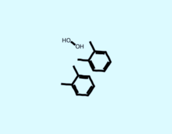 Cc1ccccc1C.Cc1ccccc1C.OO